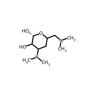 CN(C)CC1CC(N(C)C)C(O)[C@H](O)O1